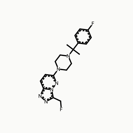 CC(C)(c1ccc(F)cc1)N1CCN(c2ccc3nnc(CF)n3n2)CC1